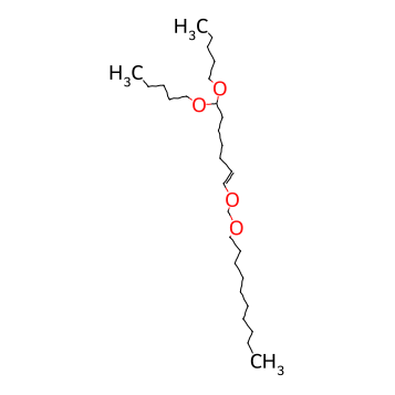 CCCCCCCCCCOCOC=CCCCCC(OCCCCC)OCCCCC